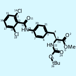 COC(=O)[C@H](Cc1ccc(NC(=O)c2c(Cl)cccc2Cl)cc1)NC(=O)OC(C)(C)C